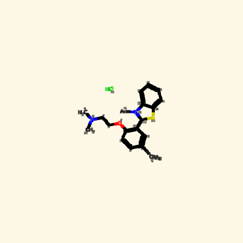 COc1ccc(OCCN(C)C)c(C2Sc3ccccc3N2C(C)=O)c1.Cl